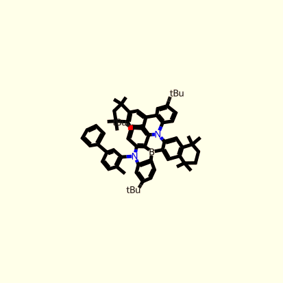 Cc1ccc(-c2ccccc2)cc1N1c2cc(C(C)(C)C)ccc2B2c3cc4c(cc3N(c3ccc(C(C)(C)C)cc3-c3ccc5c(c3)C(C)(C)CC5(C)C)c3cc(C(C)(C)C)cc1c32)C(C)(C)CCC4(C)C